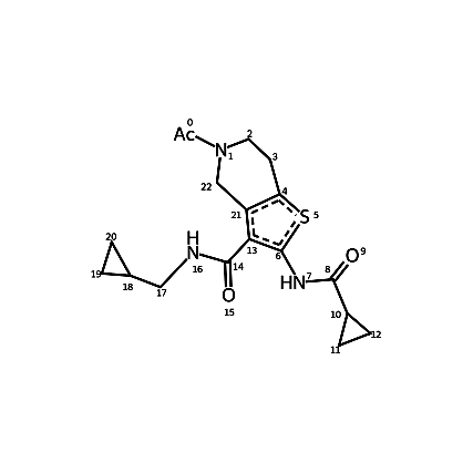 CC(=O)N1CCc2sc(NC(=O)C3CC3)c(C(=O)NCC3CC3)c2C1